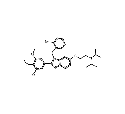 COc1cc(-c2nc3ccc(OCCN(C(C)C)C(C)C)cc3n2Cc2ccccc2Br)cc(OC)c1OC